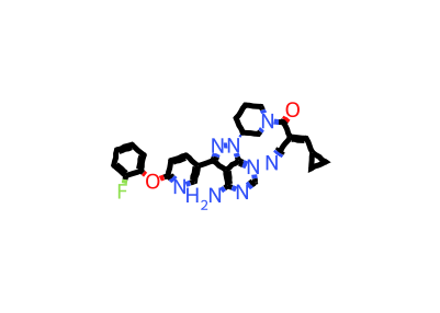 N#CC(=CC1CC1)C(=O)N1CCC[C@@H](n2nc(-c3ccc(Oc4ccccc4F)nc3)c3c(N)ncnc32)C1